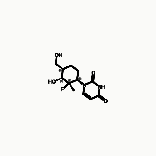 C[C@@]1(F)[C@H](O)[C@@H](CO)CC[C@H]1n1ccc(=O)[nH]c1=O